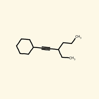 CCCC(C#CC1CCCCC1)CC